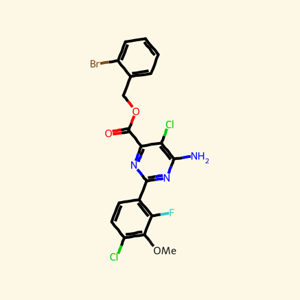 COc1c(Cl)ccc(-c2nc(N)c(Cl)c(C(=O)OCc3ccccc3Br)n2)c1F